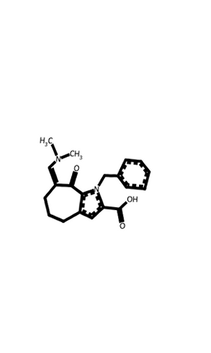 CN(C)C=C1CCCc2cc(C(=O)O)n(Cc3ccccc3)c2C1=O